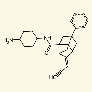 C#C/C=C1/C2CC3(c4ccccc4)CC1C(C(=O)NC1CCC(N)CC1)(C2)C3